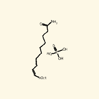 CCCCCCCC/C=C\CCCCCCCC(N)=O.O=P(O)(O)O